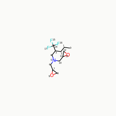 CCCC(CN(CC1CO1)CC1CO1)C(F)(F)F